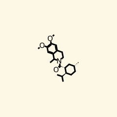 COc1cc2c(cc1OC)C(C)N(C(=O)[C@@H]1C[C@H](C)CC[C@H]1C(C)C)CC2